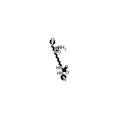 NNC(=O)N(CCCCCCCCNc1c(Nc2ccncc2)c(=O)c1=O)CCCN1CCOCC1